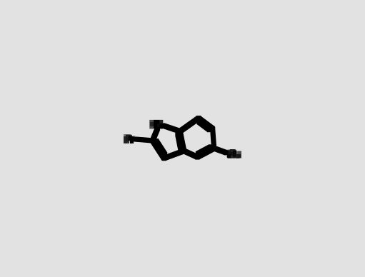 CC(C)c1cc2cc(C(C)(C)C)ccc2[nH]1